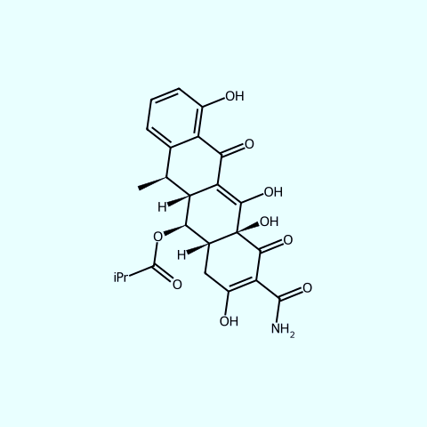 CC(C)C(=O)O[C@H]1[C@H]2C(=C(O)[C@]3(O)C(=O)C(C(N)=O)=C(O)C[C@H]13)C(=O)c1c(O)cccc1[C@@H]2C